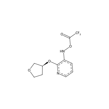 O=C(ONc1cccnc1O[C@H]1CCOC1)C(F)(F)F